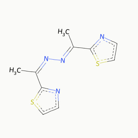 CC(=NN=C(C)c1nccs1)c1nccs1